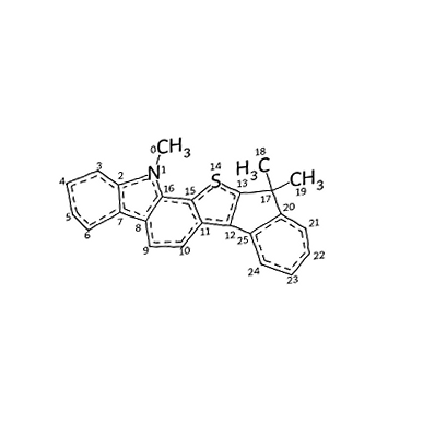 Cn1c2ccccc2c2ccc3c4c(sc3c21)C(C)(C)c1ccccc1-4